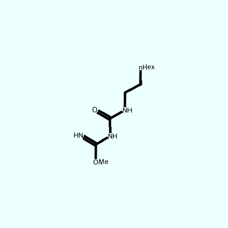 CCCCCCCCNC(=O)NC(=N)OC